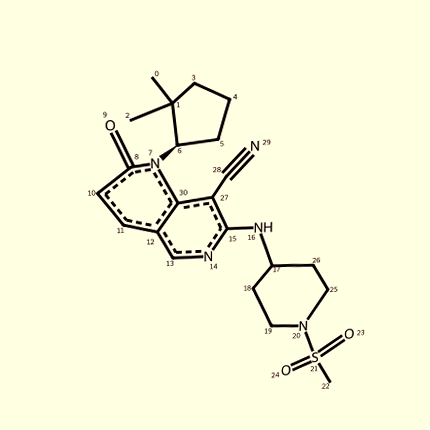 CC1(C)CCC[C@H]1n1c(=O)ccc2cnc(NC3CCN(S(C)(=O)=O)CC3)c(C#N)c21